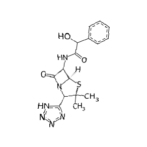 CC1(C)S[C@@H]2C(NC(=O)C(O)c3ccccc3)C(=O)N2C1c1nnn[nH]1